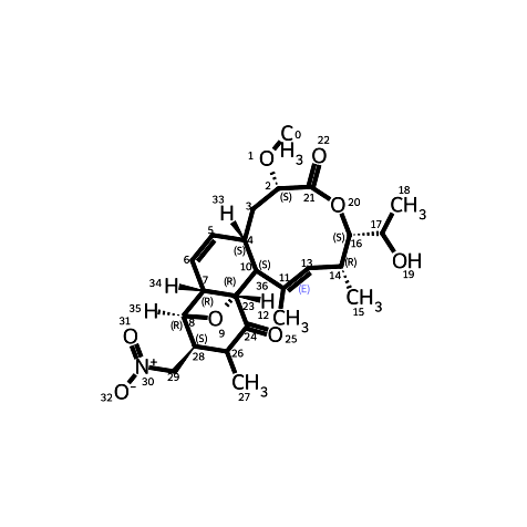 CO[C@H]1C[C@H]2C=C[C@H]3[C@H]4O[C@]2(/C(C)=C/[C@@H](C)[C@@H](C(C)O)OC1=O)[C@@H]3C(=O)C(C)[C@H]4C[N+](=O)[O-]